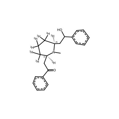 [2H]C1([2H])C([2H])([2H])[C@@]([2H])(CC(O)c2ccccc2)N(C)[C@@]([2H])(CC(=O)c2ccccc2)C1([2H])[2H]